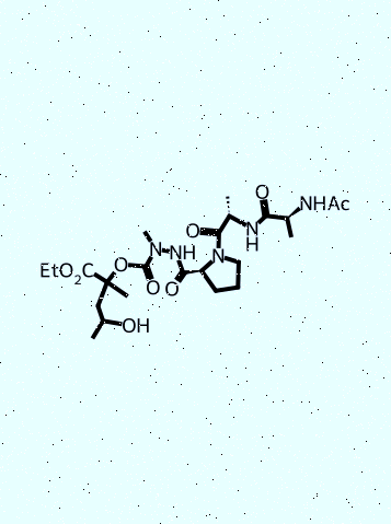 CCOC(=O)C(C)(CC(C)O)OC(=O)N(C)NC(=O)[C@@H]1CCCN1C(=O)[C@H](C)NC(=O)[C@H](C)NC(C)=O